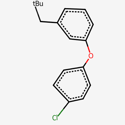 CC(C)(C)Cc1cccc(Oc2ccc(Cl)cc2)c1